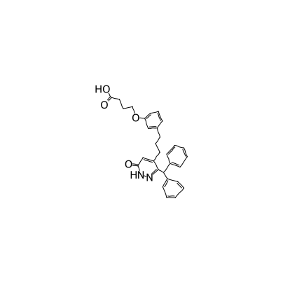 O=C(O)CCCOc1cccc(CCCc2cc(=O)[nH]nc2C(c2ccccc2)c2ccccc2)c1